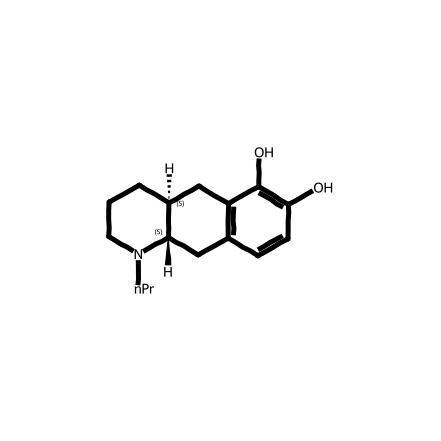 CCCN1CCC[C@H]2Cc3c(ccc(O)c3O)C[C@@H]21